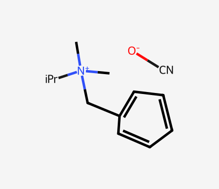 CC(C)[N+](C)(C)Cc1ccccc1.N#C[O-]